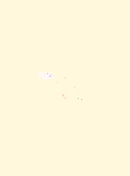 Cc1cscc1-c1ccc(N)cc1O